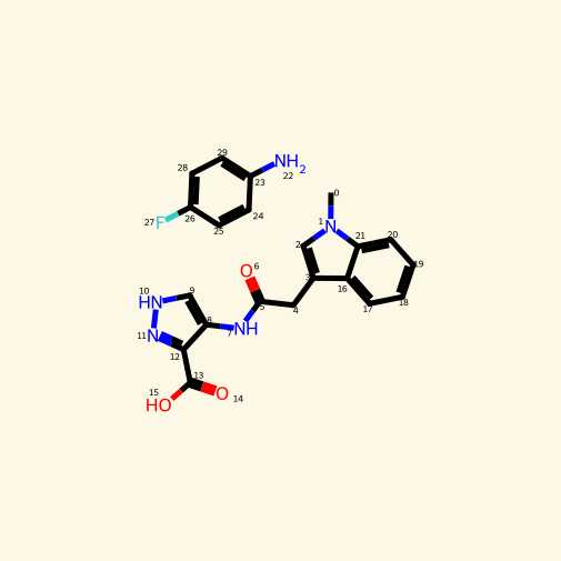 Cn1cc(CC(=O)Nc2c[nH]nc2C(=O)O)c2ccccc21.Nc1ccc(F)cc1